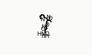 CCCNC(=O)c1cc(OCc2c(-c3ccccn3)noc2C)no1